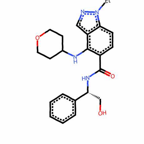 CCn1ncc2c(NC3CCOCC3)c(C(=O)N[C@H](CO)c3ccccc3)ccc21